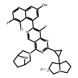 CCc1c(F)ccc2cc(O)cc(-c3ncc4c(N5CC6CCC(C5)N6)nc(C5CC5C56CCCN5C[C@H](F)C6)nc4c3F)c12